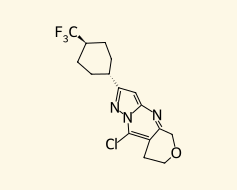 FC(F)(F)[C@H]1CC[C@H](c2cc3nc4c(c(Cl)n3n2)CCOC4)CC1